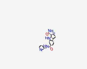 Cc1ccc2c([nH]c3cc(C(=O)NCc4cccnc4)ccc32)c1C(N)=O